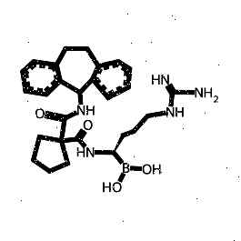 N=C(N)NCCC[C@H](NC(=O)C1(C(=O)NC2c3ccccc3CCc3ccccc32)CCCC1)B(O)O